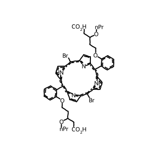 CCCOC(CCOc1ccccc1-c1c2nc(c(Br)c3ccc([nH]3)c(-c3ccccc3OCCC(CC(=O)O)OCCC)c3nc(c(Br)c4ccc1[nH]4)C=C3)C=C2)CC(=O)O